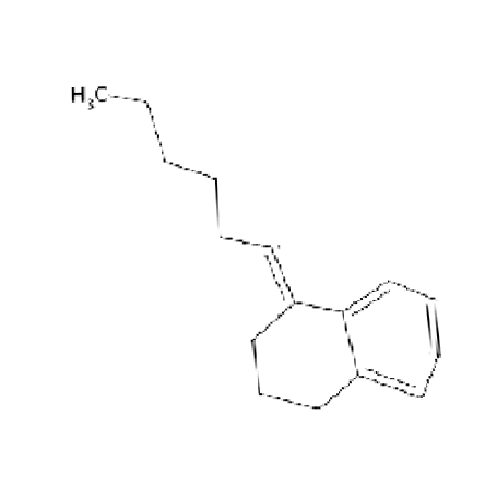 CCCCC[C]=C1CCCc2ccccc21